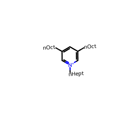 CCCCCCCCc1cc(CCCCCCCC)c[n+](CCCCCCC)c1